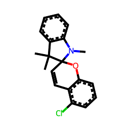 CN1c2ccccc2C(C)(C)C12C=Cc1c(Cl)cccc1O2